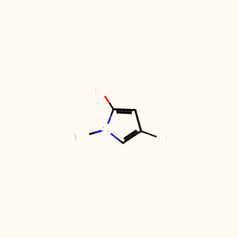 Cn1cc(C(F)(F)F)cc1O